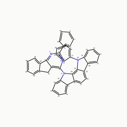 c1ccc(-c2nc3c(c(-n4c5ccccc5c5ccc6c7ccccc7n(-c7ccccc7)c6c54)n2)Cc2ccccc2-3)cc1